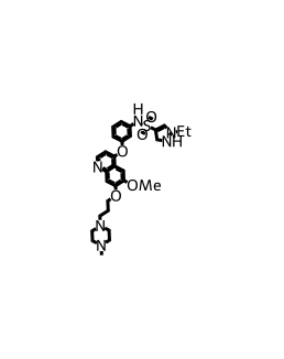 CCN1C=C(S(=O)(=O)Nc2cccc(Oc3ccnc4cc(OCCCN5CCN(C)CC5)c(OC)cc34)c2)CN1